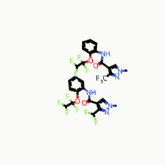 Cn1cc(C(=O)Nc2ccccc2OC(F)(F)C(F)F)c(C(F)(F)F)n1.Cn1cc(C(=O)Nc2ccccc2OC(F)(F)C(F)F)c(C(F)F)n1